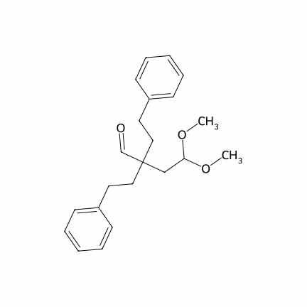 COC(CC(C=O)(CCc1ccccc1)CCc1ccccc1)OC